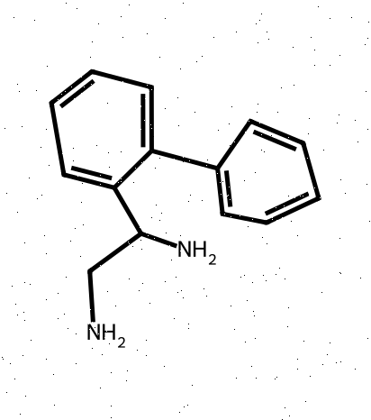 NCC(N)c1ccccc1-c1ccccc1